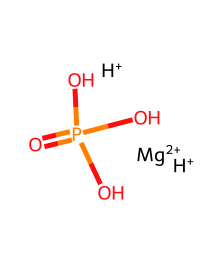 O=P(O)(O)O.[H+].[H+].[Mg+2]